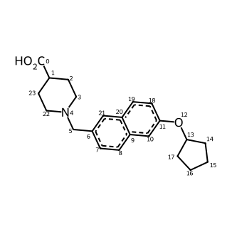 O=C(O)C1CCN(Cc2ccc3cc(OC4CCCC4)ccc3c2)CC1